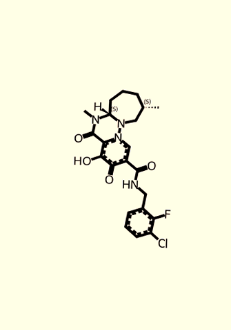 C[C@H]1CCC[C@H]2N(C)C(=O)c3c(O)c(=O)c(C(=O)NCc4cccc(Cl)c4F)cn3N2C1